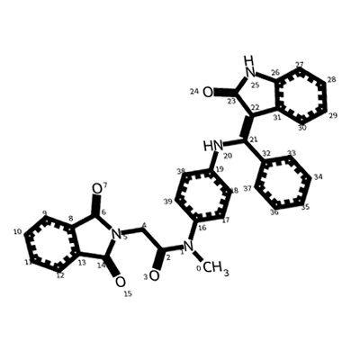 CN(C(=O)CN1C(=O)c2ccccc2C1=O)c1ccc(NC(=C2C(=O)Nc3ccccc32)c2ccccc2)cc1